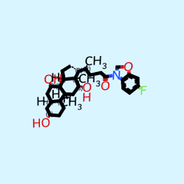 C[C@H](CCC(=O)N1COc2cc(F)ccc21)[C@H]1CC[C@H]2[C@@H]3[C@H](O)C[C@@H]4C[C@H](O)CC[C@]4(C)[C@H]3C[C@H](O)[C@]12C